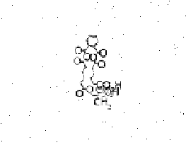 CC(C)(CO)COC(=O)CCCCC(=O)OC(=O)c1ccccc1C(=O)OC(=O)CCCCC(=O)O